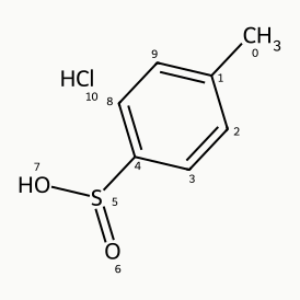 Cc1ccc(S(=O)O)cc1.Cl